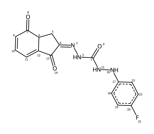 O=C(NN=C1CC2C(=O)C=CC=C2C1=O)NNc1ccc(F)cc1